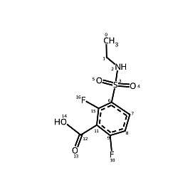 CCNS(=O)(=O)c1ccc(F)c(C(=O)O)c1F